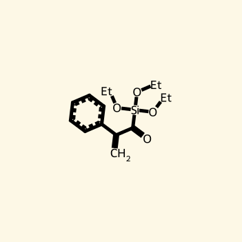 C=C(C(=O)[Si](OCC)(OCC)OCC)c1ccccc1